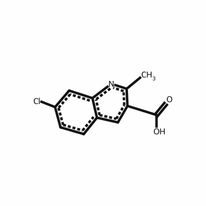 Cc1nc2cc(Cl)ccc2cc1C(=O)O